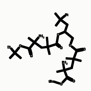 CCC(C)(C)CC(COC(=O)C(C)(C)CC(C)(P)C(=O)OC(C)(C)C)OC(=O)C(C)(C)CC(C)(P)C(=O)OC(C)(C)CC